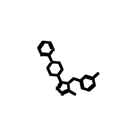 Cc1cccc(Cn2c(C)nnc2C2CCN(c3ncccn3)CC2)c1